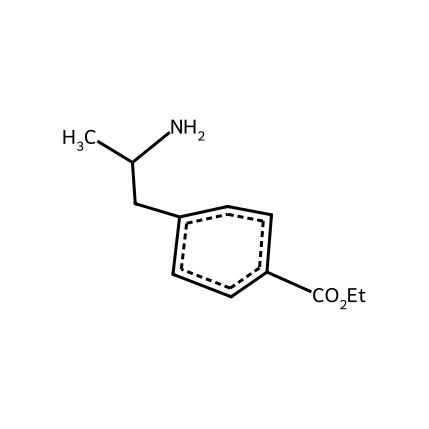 CCOC(=O)c1ccc(CC(C)N)cc1